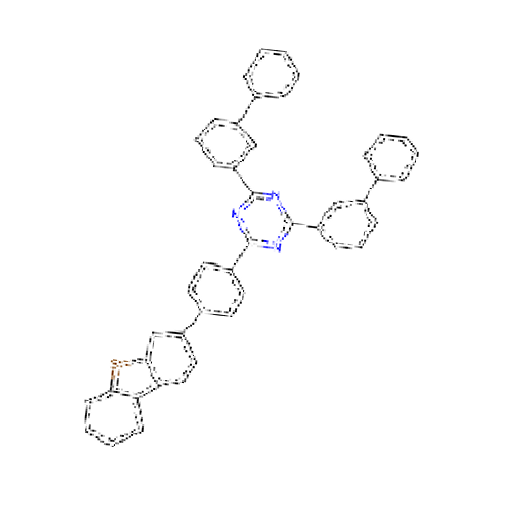 c1ccc(-c2cccc(-c3nc(-c4ccc(-c5ccc6c(c5)sc5ccccc56)cc4)nc(-c4cccc(-c5ccccc5)c4)n3)c2)cc1